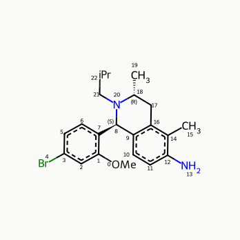 COc1cc(Br)ccc1[C@@H]1c2ccc(N)c(C)c2C[C@@H](C)N1CC(C)C